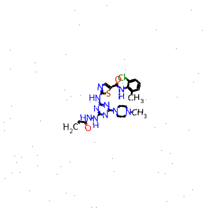 C=CC(=O)NNc1nc(Nc2ncc(C(=O)Nc3c(C)cccc3Cl)s2)nc(N2CCN(C)CC2)n1